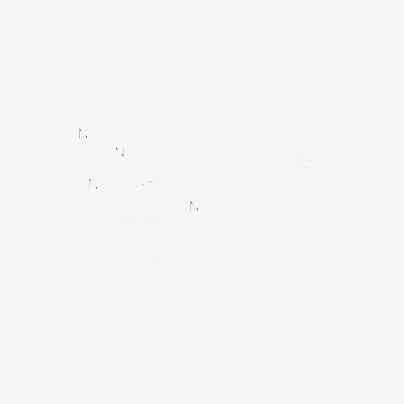 c1ccc(-n2c3ccc(N(c4ccc(-c5cccc6c5oc5ccccc56)cc4)c4cccc5c4C4(c6ccccc6-c6ccccc64)c4ccccc4-5)cc3n3c4ccccc4nc23)cc1